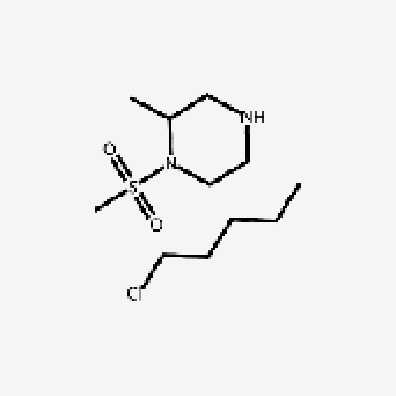 CC1CNCCN1S(C)(=O)=O.CCCCCCl